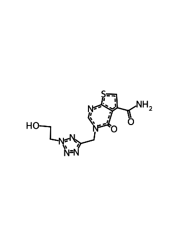 NC(=O)c1csc2ncn(Cc3nnn(CCO)n3)c(=O)c12